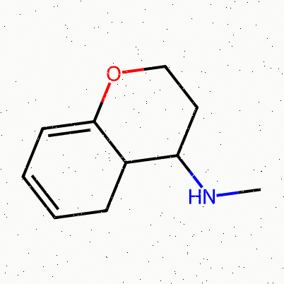 CNC1CCOC2=CC=CCC21